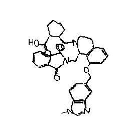 Cn1cnc2cc(COc3cccc4c3[C@@H](CN3C(=O)c5ccccc5C3=O)N(C(=O)[C@@H]3CCCC[C@@H]3C(=O)O)CC4)ccc21